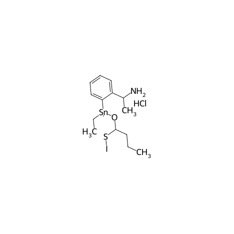 CCCC([O][Sn]([CH2]C)[c]1ccccc1C(C)N)SI.Cl